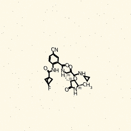 C[C@@H]1C[C@@H](C[C@H](NC(=O)c2cc(C#N)ccc2NC(=O)C23CC(F)(C2)C3)C(=O)C(=O)NC2CC2)C(=O)N1